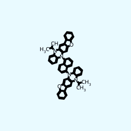 CC(C)N1c2ccccc2N(c2cccc3c(N4c5ccccc5N(C(C)C)c5cc6c(cc54)oc4ccccc46)cccc23)c2cc3oc4ccccc4c3cc21